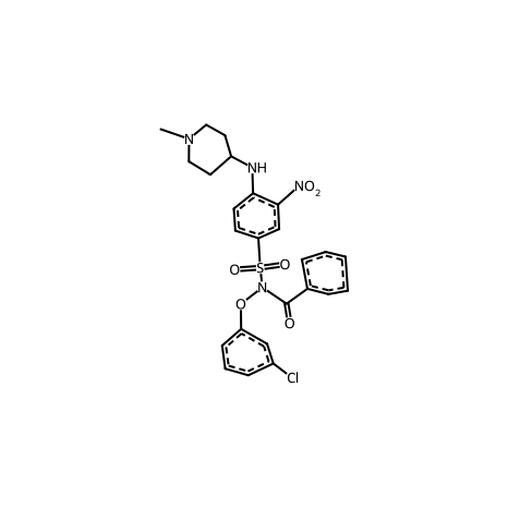 CN1CCC(Nc2ccc(S(=O)(=O)N(Oc3cccc(Cl)c3)C(=O)c3ccccc3)cc2[N+](=O)[O-])CC1